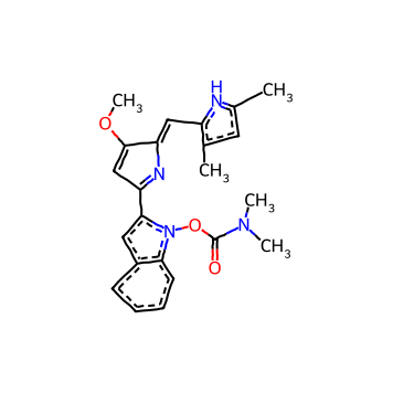 COC1=CC(c2cc3ccccc3n2OC(=O)N(C)C)=NC1=Cc1[nH]c(C)cc1C